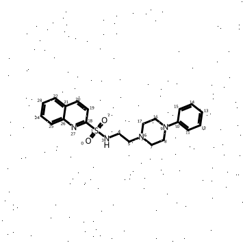 O=S(=O)(NCCN1CCN(c2ccccc2)CC1)c1ccc2ccccc2n1